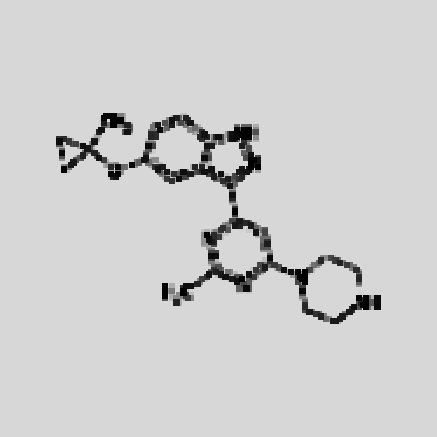 Cc1nc(-c2n[nH]c3ccc(OC4(C)CC4)cc23)cc(N2CCNCC2)n1